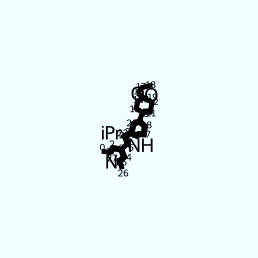 Cc1cc(-c2[nH]c3ccc(C4=CCC5(CC4)OCCO5)cc3c2C(C)C)cc(C)n1